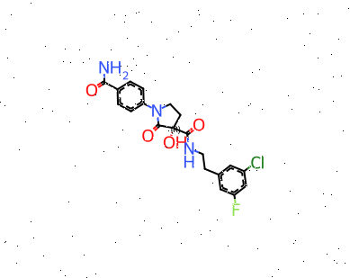 NC(=O)c1ccc(N2CC[C@@](O)(C(=O)NCCc3cc(F)cc(Cl)c3)C2=O)cc1